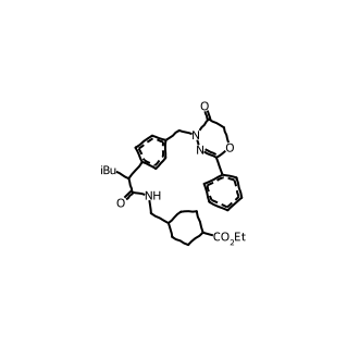 CCOC(=O)C1CCC(CNC(=O)C(c2ccc(CN3N=C(c4ccccc4)OCC3=O)cc2)C(C)CC)CC1